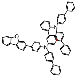 c1ccc(-c2ccc(N(c3ccc(-c4ccc5c(c4)oc4ccccc45)cc3)c3cccc(-c4ccccc4N(c4ccc(-c5ccccc5)cc4)c4ccc(-c5ccccc5)cc4)c3)cc2)cc1